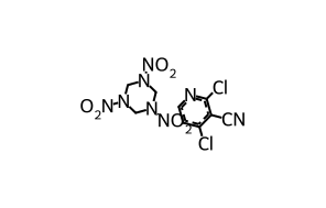 N#Cc1c(Cl)ccnc1Cl.O=[N+]([O-])N1CN([N+](=O)[O-])CN([N+](=O)[O-])C1